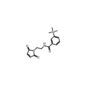 [CH3][Sn]([CH3])([CH3])[c]1cccc(C(=O)NCCN2C(=O)C=CC2=O)c1